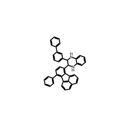 c1ccc(-c2cccc(C3Nc4ccccc4NC3c3ccc(-c4ccccc4)c4c3-c3cccc5cccc-4c35)c2)cc1